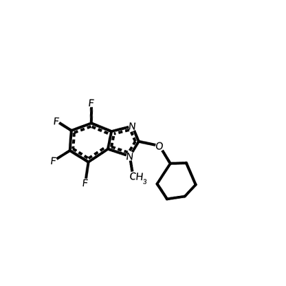 Cn1c(OC2CCCCC2)nc2c(F)c(F)c(F)c(F)c21